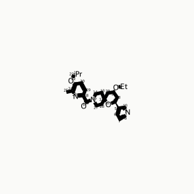 CCO[C@H]1C[C@@H](c2cccnc2)OC2(CCN(C(=O)c3ccc(OC(C)C)c(C)n3)CC2)C1